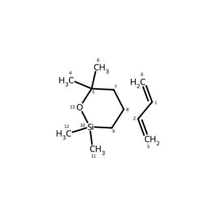 C=CC=C.CC1(C)CCC[Si](C)(C)O1